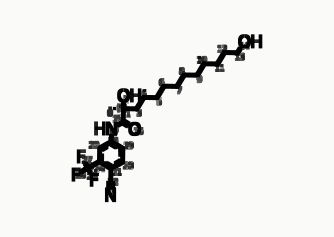 C[C@](O)(CCCCCCCCCCCO)C(=O)Nc1ccc(C#N)c(C(F)(F)F)c1